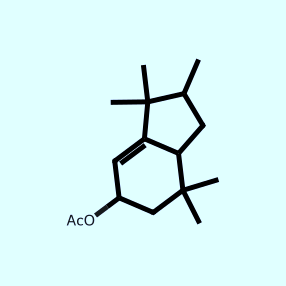 CC(=O)OC1C=C2C(CC(C)C2(C)C)C(C)(C)C1